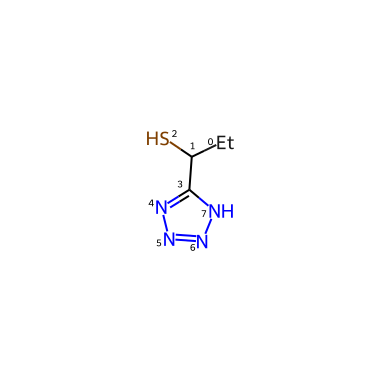 CCC(S)c1nnn[nH]1